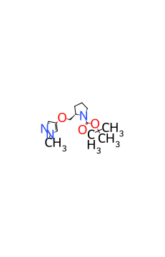 Cn1cc(OC[C@H]2CCCN2C(=O)OC(C)(C)C)cn1